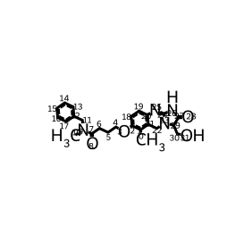 Cc1c(OCCCC(=O)N(C)Cc2ccccc2)ccc2c1CN1C(=N2)NC(=O)C1CO